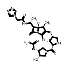 C[C@@H](NC(=O)Cn1cnnn1)C1C(=O)N2C(C(=O)O)=C(S[C@@H]3CN[C@H](C(=O)N4C[C@H](O)[C@H](NC(=N)N)C4)C3)[C@H](C)[C@H]12